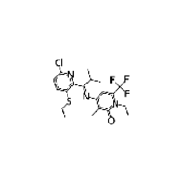 CCSc1ccc(Cl)nc1/C(=N/c1cc(C(F)(F)F)n(CC)c(=O)c1C)C(C)C